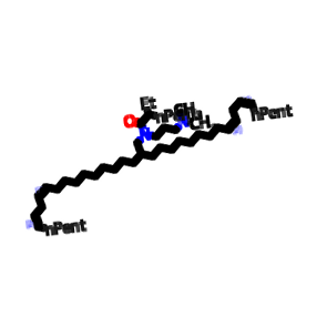 CCCCC/C=C\C/C=C\CCCCCCCCCC(CCCCCCCC/C=C\C/C=C\CCCCC)CN(CCCN(C)C)C(=O)C(CC)CCCCC